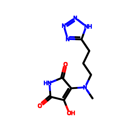 CN(CCCc1nnn[nH]1)C1=C(O)C(=O)NC1=O